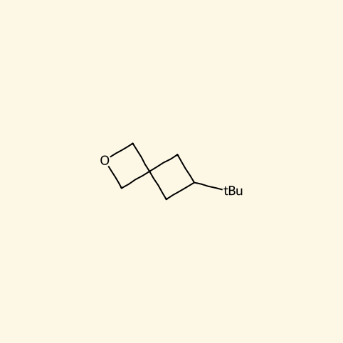 CC(C)(C)C1CC2(COC2)C1